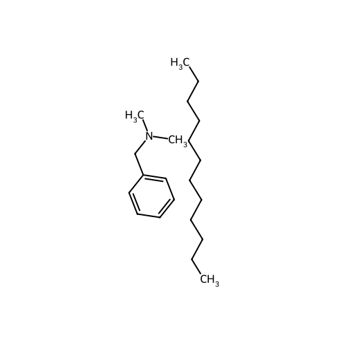 CCCCCCCCCCCC.CN(C)Cc1ccccc1